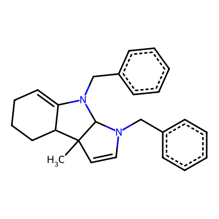 CC12C=CN(Cc3ccccc3)C1N(Cc1ccccc1)C1=CCCCC12